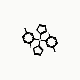 Fc1ccc(F)[c]([Ti]([C]2=CC=CC2)([C]2=CC=CC2)[c]2cc(F)ccc2F)c1